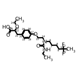 CCNC(=O)N(CCCCC(C)(F)F)CCOc1ccc(CC(OCC)C(=O)O)cc1